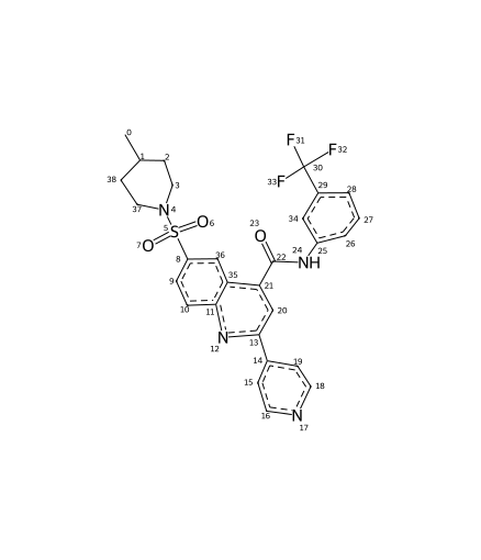 CC1CCN(S(=O)(=O)c2ccc3nc(-c4ccncc4)cc(C(=O)Nc4cccc(C(F)(F)F)c4)c3c2)CC1